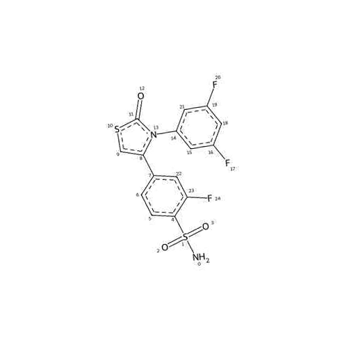 NS(=O)(=O)c1ccc(-c2csc(=O)n2-c2cc(F)cc(F)c2)cc1F